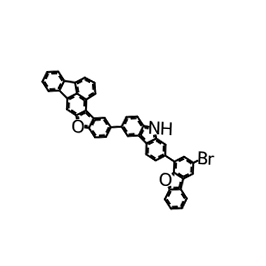 Brc1cc(-c2ccc3c(c2)[nH]c2ccc(-c4ccc5oc6cc7c8c(cccc8c6c5c4)-c4ccccc4-7)cc23)c2oc3ccccc3c2c1